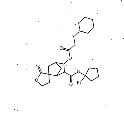 CCC1(OC(=O)C2C(OC(=O)CCN3CCCCC3)C3CC2C2(CCOC2=O)C3)CCCC1